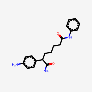 NC(=O)C(CCCCC(=O)Nc1ccccc1)c1ccc(N)cc1